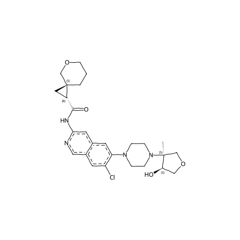 C[C@]1(N2CCN(c3cc4cc(NC(=O)[C@@H]5C[C@@]56CCCOC6)ncc4cc3Cl)CC2)COC[C@H]1O